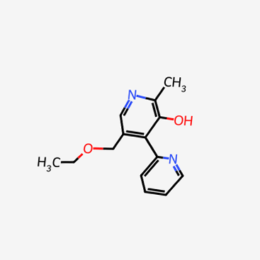 CCOCc1cnc(C)c(O)c1-c1ccccn1